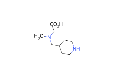 CN(CC(=O)O)CC1CCNCC1